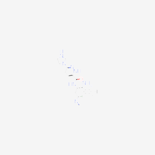 C=NC(Cl)CC(NC(=O)C1=CCC(N2CCNC2)=NN1)C(N)C(=O)O